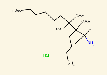 CCCCCCCCCCCCCCCC(OC)(OC)C(CCC[SiH3])(OC)C(C)(C)N.Cl